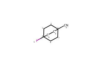 N#CC12CCC(I)(CC1)CC2